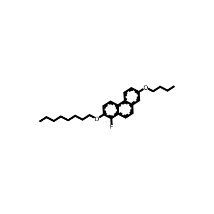 CCCCCCCCOc1ccc2c(ccc3cc(OCCCC)ccc32)c1F